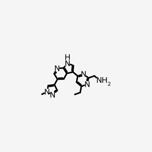 CCc1cc(-c2c[nH]c3ncc(-c4cnn(C)c4)cc23)nc(CN)n1